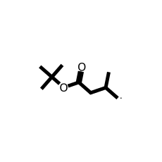 [CH2]C(C)CC(=O)OC(C)(C)C